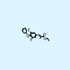 CCOC(=O)/C(C)=C/c1cc(F)c(OC2C=CC=CC2)c(F)c1